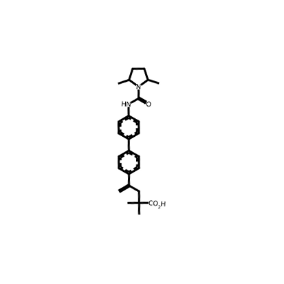 C=C(CC(C)(C)C(=O)O)c1ccc(-c2ccc(NC(=O)N3C(C)CCC3C)cc2)cc1